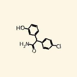 NC(=O)C(c1ccc(Cl)cc1)c1cccc(O)c1